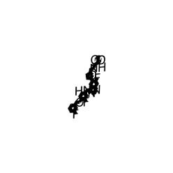 CS(=O)(=O)CCNCc1ccc(-c2cc3c(Nc4ccc(OCc5cccc(F)c5)c(F)c4)ncnc3cc2F)o1